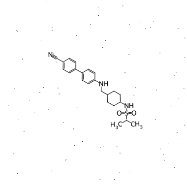 CC(C)S(=O)(=O)NC1CCC(CNc2ccc(-c3ccc(C#N)cc3)cc2)CC1